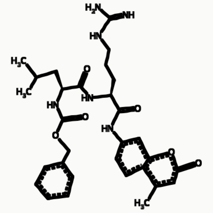 Cc1cc(=O)oc2cc(NC(=O)[C@H](CCCNC(=N)N)NC(=O)[C@H](CC(C)C)NC(=O)OCc3ccccc3)ccc12